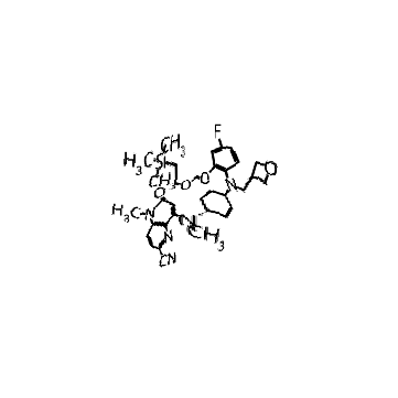 Cn1c(=O)cc(N(C)[C@H]2CC[C@H](N(CC3COC3)c3ccc(F)cc3OCOCC[Si](C)(C)C)CC2)c2nc(C#N)ccc21